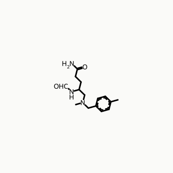 Cc1ccc(CN(C)CC(CCC(N)=O)NC=O)cc1